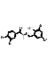 O=C(NN=Cc1cc(Br)cc(Br)c1O)c1ccc(Br)c(Br)c1